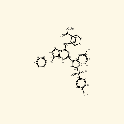 COC(=O)C1C2CCC(CC2)C1Nc1nc(-c2cn(S(=O)(=O)c3ccc(C)cc3)c3ncc(F)cc23)nc2c1ccn2Cc1ccccc1